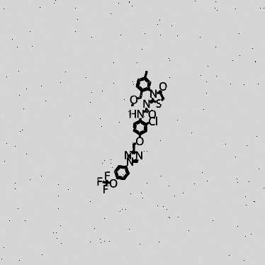 COCc1ccc(C)cc1N1C(=O)CSC1=NC(=O)Nc1ccc(OCc2ncn(-c3ccc(OC(F)(F)F)cc3)n2)cc1Cl